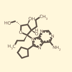 CCC[C@@]1(O)[C@H](O)[C@@H](CO)O[C@@]1(CCC)n1c(C2CCCC2)nc2c(N)ncnc21